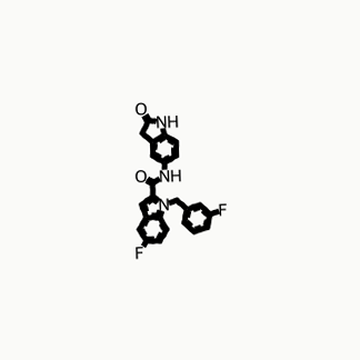 O=C1Cc2cc(NC(=O)c3cc4cc(F)ccc4n3Cc3cccc(F)c3)ccc2N1